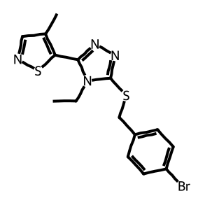 CCn1c(SCc2ccc(Br)cc2)nnc1-c1sncc1C